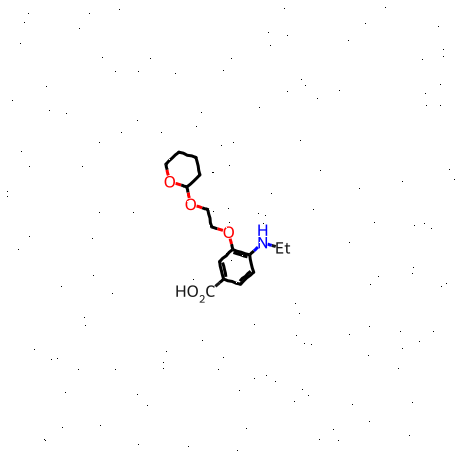 CCNc1ccc(C(=O)O)cc1OCCOC1CCCCO1